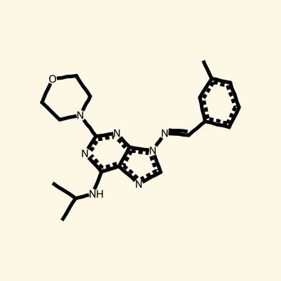 Cc1cccc(C=Nn2cnc3c(NC(C)C)nc(N4CCOCC4)nc32)c1